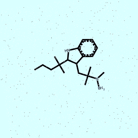 BN(C)C(C)(C)CC1c2ccccc2NC1C(C)(C)CCC